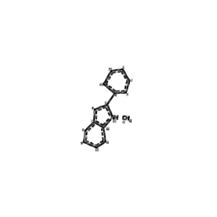 C.c1ccc(-c2cc3ccccc3[nH]2)cc1